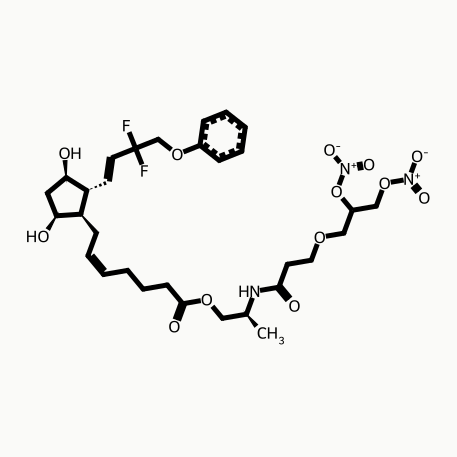 C[C@@H](COC(=O)CCC/C=C\C[C@@H]1[C@@H](/C=C/C(F)(F)COc2ccccc2)[C@H](O)C[C@@H]1O)NC(=O)CCOCC(CO[N+](=O)[O-])O[N+](=O)[O-]